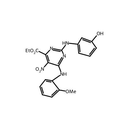 CCOC(=O)c1nc(Nc2cccc(O)c2)nc(Nc2ccccc2OC)c1[N+](=O)[O-]